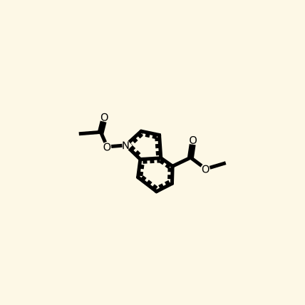 COC(=O)c1cccc2c1ccn2OC(C)=O